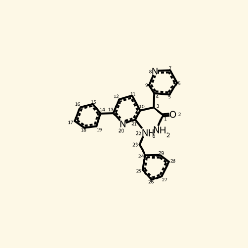 NC(=O)C(c1cccnc1)c1ccc(-c2ccccc2)nc1NCc1ccccc1